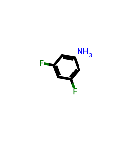 Fc1cccc(F)c1.N